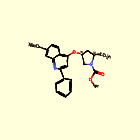 COc1ccc2c(O[C@@H]3C[C@@H](C(=O)O)N(C(=O)OC(C)C)C3)cc(-c3ccccc3)nc2c1